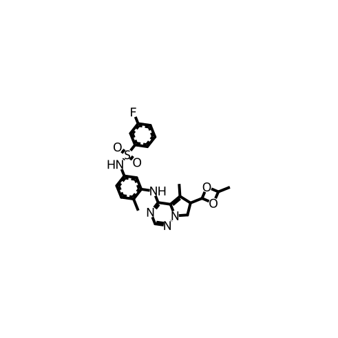 CC1=C2C(Nc3cc(NS(=O)(=O)c4cccc(F)c4)ccc3C)=NC=NN2CC1C1OC(C)O1